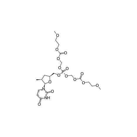 COCCOC(=O)OCOP(=O)(OCOC(=O)OCCOC)OC[C@@H]1C[C@H](C)[C@H](n2ccc(=O)[nH]c2=O)O1